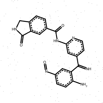 N=C(c1ccnc(NC(=O)c2ccc3c(c2)C(=O)NC3)c1)c1cc(N=O)ccc1N